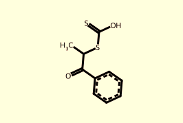 CC(SC(O)=S)C(=O)c1ccccc1